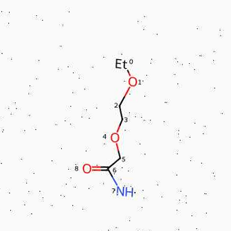 CCOCCOCC([NH])=O